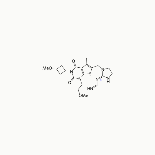 COCCn1c(=O)n([C@H]2C[C@@H](OC)C2)c(=O)c2c(C)c(CN3CCN/C3=N\C=N)sc21